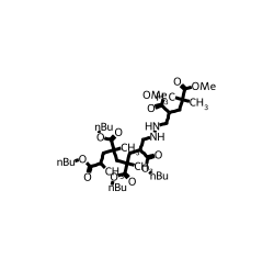 CCCCOC(=O)C(C)CC(C)(CC(C)(CC(CNNCC(CC(C)(C)C(=O)OC)C(=O)OC)C(=O)OCCCC)C(=O)OCCCC)C(=O)OCCCC